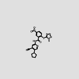 Cn1nnnc1Sc1ccc([N+](=O)[O-])cc1C(=O)Nc1cc(C#N)c(C2CCCC2)cn1